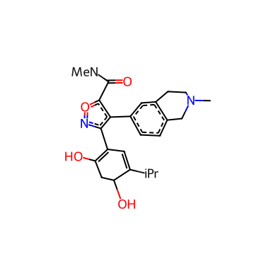 CNC(=O)c1onc(C2=C(O)CC(O)C(C(C)C)=C2)c1-c1ccc2c(c1)CCN(C)C2